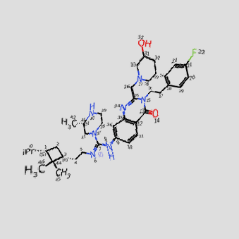 CC(C)[C@@H]1C[C@H](CC/N=C(/Nc2ccc3c(=O)n(CCc4ccc(F)cc4)c(CN4CCCC(O)C4)nc3c2)N2CCN[C@@H](C)C2)C1(C)C